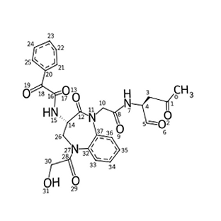 CC(=O)C[C@@H](C=O)NC(=O)CN1C(=O)[C@@H](NC(=O)C(=O)c2ccccc2)CN(C(=O)CO)c2ccccc21